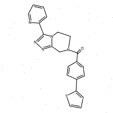 O=C(c1ccc(-c2cccs2)cc1)N1CCn2c(nnc2-c2ccccn2)C1